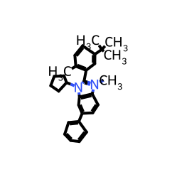 Cc1ccc(C(C)(C)C)cc1-c1n(C2CCCC2)c2cc(-c3ccccc3)ccc2[n+]1C